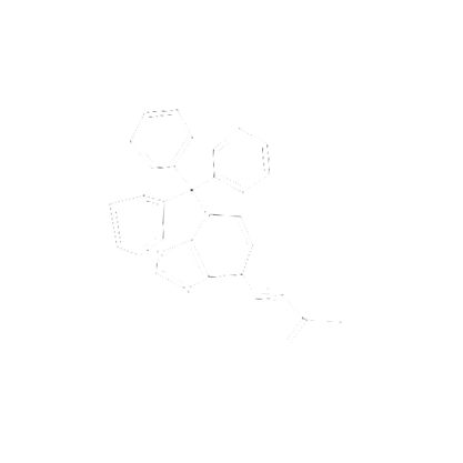 O=C(O)/C=C/C1C=CN(C(c2ccccc2)(c2ccccc2)c2ccccc2)c2[nH]cnc21